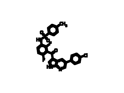 Cc1ccc(S(=O)(=O)Nc2ccc(F)c(C(=O)c3c[nH]c4ncc(-c5ccc(Cl)cc5)cc34)c2F)cc1